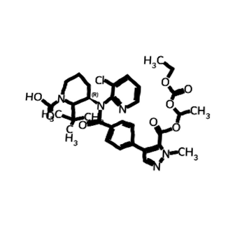 CCOC(=O)OC(C)OC(=O)c1c(-c2ccc(C(=O)N(c3ncccc3Cl)[C@@H]3CCCN(C(=O)O)C3C(C)(C)C)cc2)cnn1C